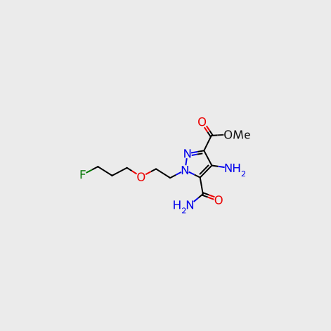 COC(=O)c1nn(CCOCCCF)c(C(N)=O)c1N